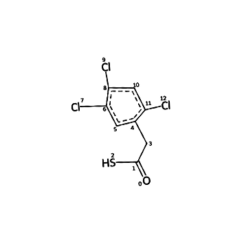 O=C(S)Cc1cc(Cl)c(Cl)cc1Cl